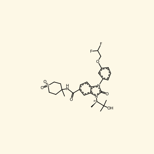 C[C@@H](n1c(=O)n(-c2cccc(OCC(F)F)c2)c2ccc(C(=O)NC3(C)CCS(=O)(=O)CC3)cc21)C(C)(C)O